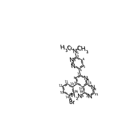 CN(C)c1ccc(-c2cc(-c3cccc(Br)c3)c3c(N)ncnc3n2)nn1